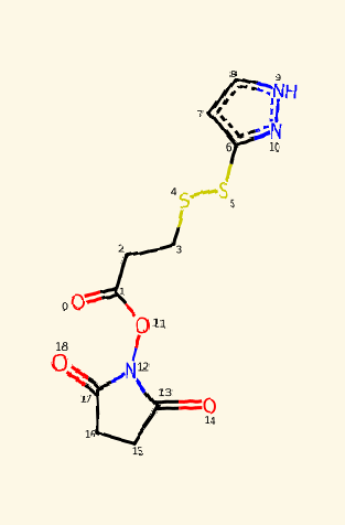 O=C(CCSSc1cc[nH]n1)ON1C(=O)CCC1=O